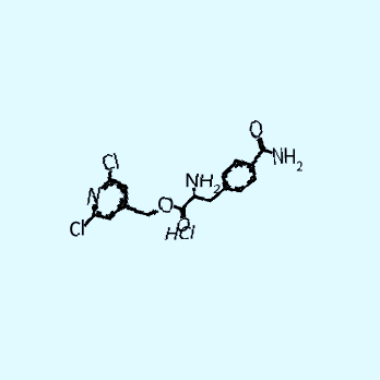 Cl.NC(=O)c1ccc(C[C@H](N)C(=O)OCc2cc(Cl)nc(Cl)c2)cc1